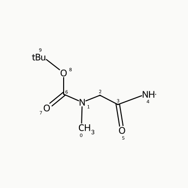 CN(CC([NH])=O)C(=O)OC(C)(C)C